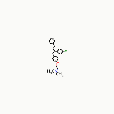 CN(C)CCOc1ccc(CC(=CCc2ccccc2)c2ccc(F)cc2)cc1